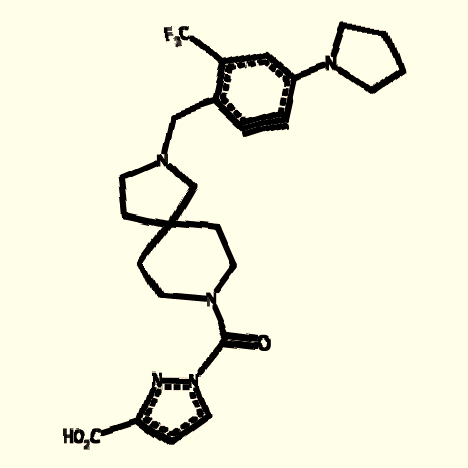 O=C(O)c1ccn(C(=O)N2CCC3(CCN(Cc4c#cc(N5CCCC5)cc4C(F)(F)F)C3)CC2)n1